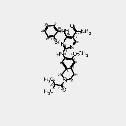 COc1cc2c(cc1Nc1ncc(C(N)=O)c(Nc3ccccc3Br)n1)CN(C(=O)C(C)C)CC2